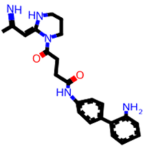 CC(=N)/C=C1\NCCCN1C(=O)CCC(=O)Nc1ccc(-c2ccccc2N)cc1